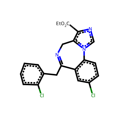 CCOC(=O)c1ncn2c1CN=C(Cc1ccccc1Cl)c1cc(Cl)ccc1-2